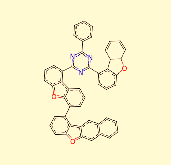 C1=CC2Oc3cccc(-c4nc(-c5ccccc5)nc(-c5cccc6oc7c(-c8cccc9oc%10cc%11ccccc%11cc%10c89)cccc7c56)n4)c3C2C=C1